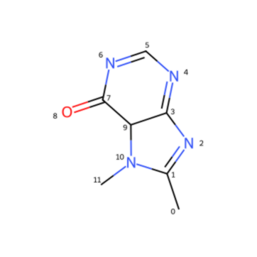 CC1=NC2=NC=NC(=O)C2N1C